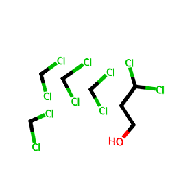 ClCCl.ClCCl.ClCCl.ClCCl.OCCC(Cl)Cl